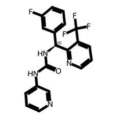 O=C(Nc1cccnc1)N[C@@H](c1cccc(F)c1)c1ncccc1C(F)(F)F